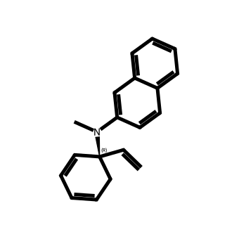 C=C[C@@]1(N(C)c2ccc3ccccc3c2)C=CC=CC1